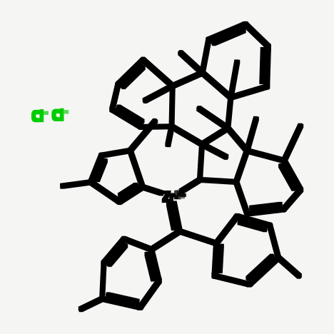 CC1=CC(C)[C]([Zr+2](=[C](c2ccc(C)cc2)c2ccc(C)cc2)[CH]2C3C=CC=C(C)C3(C)C3(C)C4(C)C=CC=CC4(C)C4(C)C=CC=CC4(C)C23C)=C1.[Cl-].[Cl-]